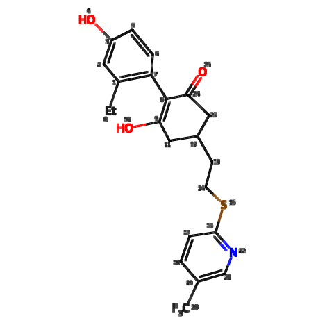 CCc1cc(O)ccc1C1=C(O)CC(CCSc2ccc(C(F)(F)F)cn2)CC1=O